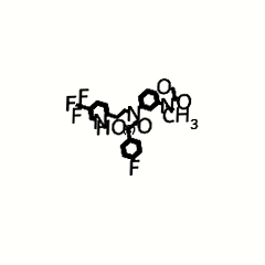 CN1C(=O)COc2ccc(N(CCc3ccc(C(F)(F)F)cn3)C(=O)[C@H](O)c3ccc(F)cc3)cc21